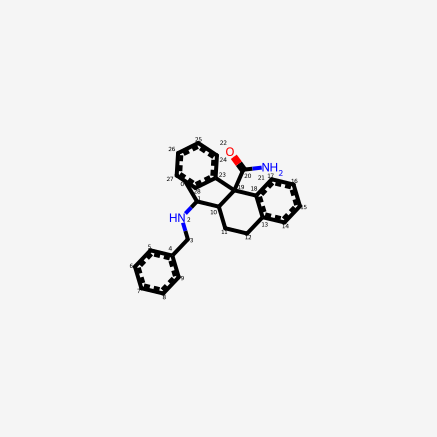 CC(NCc1ccccc1)C1CCc2ccccc2C1(C(N)=O)c1ccccc1